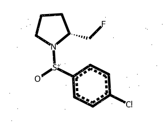 [O-][S+](c1ccc(Cl)cc1)N1CCC[C@@H]1CF